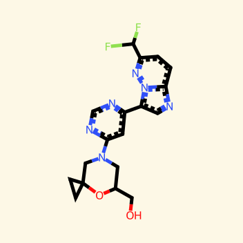 OCC1CN(c2cc(-c3cnc4ccc(C(F)F)nn34)ncn2)CC2(CC2)O1